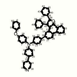 c1ccc(Oc2ccc(N(c3ccc(-c4ccncc4)cc3)c3ccc(-c4ccc5c6ccccc6c6oc(-c7ccccc7)c(-c7ccccc7)c6c5c4)cc3)cc2)cc1